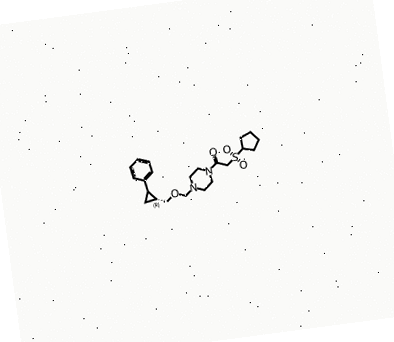 O=C(CS(=O)(=O)C1CCCC1)N1CCN(COC[C@@H]2CC2c2ccccc2)CC1